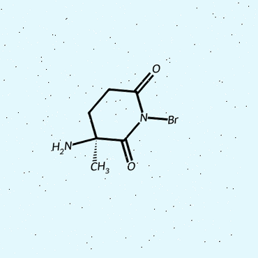 C[C@]1(N)CCC(=O)N(Br)C1=O